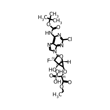 CCOC(=O)[C@H](OC1[C@H]2O[C@@H](n3cnc4c(NC(=O)OC(C)(C)C)nc(Cl)nc43)[C@@H](F)[C@@]12O)P(=O)(O)O